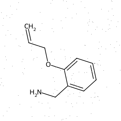 C=CCOc1c[c]ccc1CN